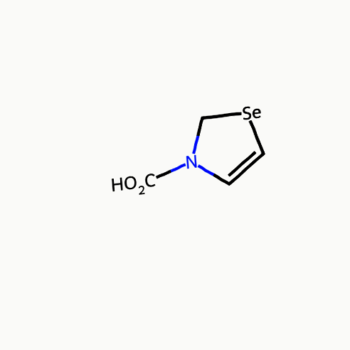 O=C(O)N1C=C[Se]C1